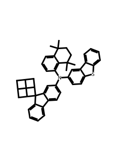 CC1(C)CCC(C)(C)c2c(N(c3ccc4c(c3)C3(c5ccccc5-4)C4CC5CC6CC3C564)c3ccc4sc5ccccc5c4c3)cccc21